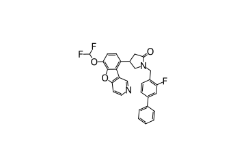 O=C1CC(c2ccc(OC(F)F)c3oc4ccncc4c23)CN1Cc1ccc(-c2ccccc2)cc1F